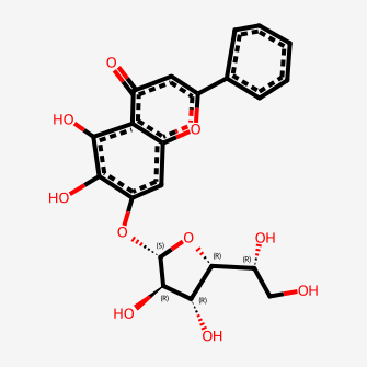 O=c1cc(-c2ccccc2)oc2cc(O[C@@H]3O[C@H]([C@H](O)CO)[C@H](O)[C@H]3O)c(O)c(O)c12